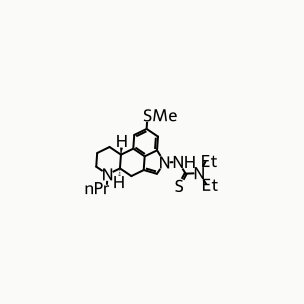 CCCN1CCC[C@@H]2c3cc(SC)cc4c3c(cn4NC(=S)N(CC)CC)C[C@H]21